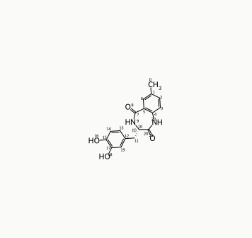 Cc1ccc2c(c1)C(=O)N[C@@H](Cc1ccc(O)c(O)c1)C(=O)N2